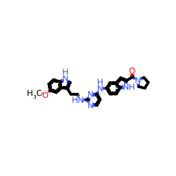 COc1ccc2[nH]cc(CCNc3nccc(Nc4ccc5[nH]c(C(=O)N6CCCC6)cc5c4)n3)c2c1